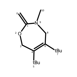 C=C1OCC(C(C)(C)C)=C(C(C)(C)C)CN1C